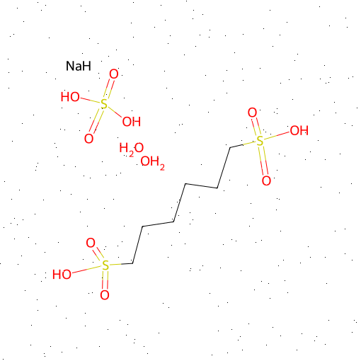 O.O.O=S(=O)(O)CCCCCCS(=O)(=O)O.O=S(=O)(O)O.[NaH]